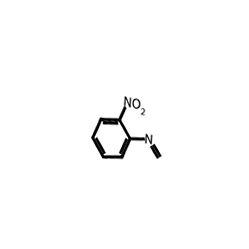 C=Nc1ccccc1[N+](=O)[O-]